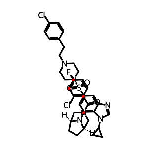 O=C(c1ccc(F)cc1Cl)N1C[C@H]2CC[C@@H](C1)N2c1cc(S(=O)(=O)N2CCN(CCc3ccc(Cl)cc3)CC2)cc2ncn(C3CC3)c12